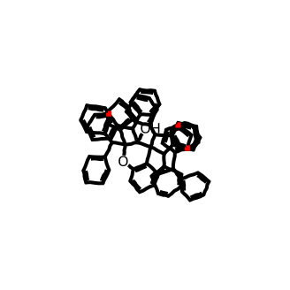 OC1(C(c2ccccc2)c2ccccc2)C(c2ccccc2)(C(c2ccccc2)c2ccccc2)Oc2cccc(C(c3ccccc3)c3ccccc3)c2C1(C(c1ccccc1)c1ccccc1)C(c1ccccc1)c1ccccc1